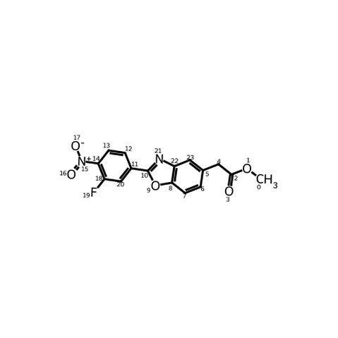 COC(=O)Cc1ccc2oc(-c3ccc([N+](=O)[O-])c(F)c3)nc2c1